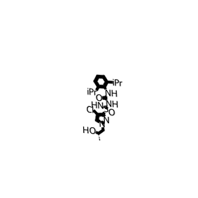 CC(C)c1cccc(C(C)C)c1NC(=O)NS(=N)(=O)c1nn(C[C@H](C)O)cc1Cl